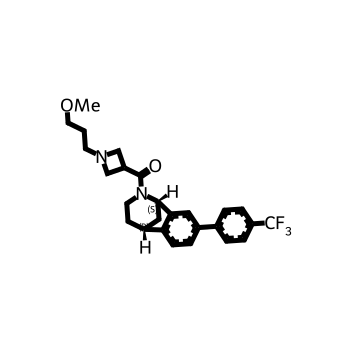 COCCCN1CC(C(=O)N2CC[C@@H]3C[C@H]2c2cc(-c4ccc(C(F)(F)F)cc4)ccc23)C1